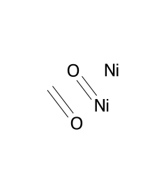 C=O.[Ni].[O]=[Ni]